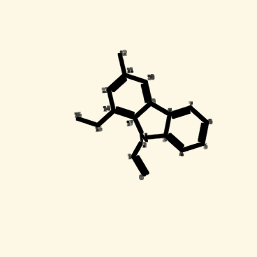 C=Cn1c2ccccc2c2cc(C)cc(CC)c21